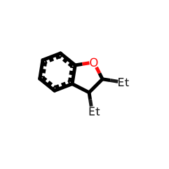 CCC1Oc2ccccc2C1CC